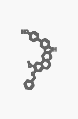 COc1cc2c(cc1OCc1ccccc1)CCN1Cc3[nH]c4ccc(-c5ccc(O)cc5)cc4c3CC21